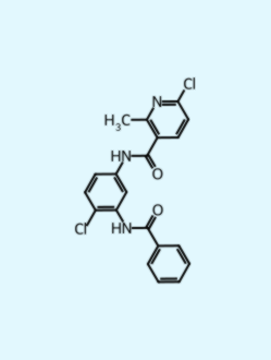 Cc1nc(Cl)ccc1C(=O)Nc1ccc(Cl)c(NC(=O)c2ccccc2)c1